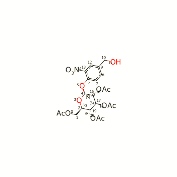 CC(=O)OC[C@H]1O[C@@H](Oc2ccc(CO)cc2[N+](=O)[O-])[C@H](OC(C)=O)[C@@H](OC(C)=O)[C@@H]1OC(C)=O